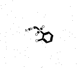 [N-]=[N+]=CS(=O)(=O)c1ccccc1Cl